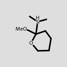 COC1([SiH](C)C)CCCCO1